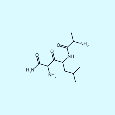 CC(C)CC(NC(=O)C(C)N)C(=O)C(N)C(N)=O